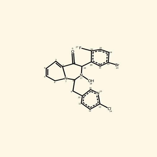 O=C1C2=CC=CCN2C(Cc2ccc(Cl)nc2)N(O)C1c1cc(Br)ccc1F